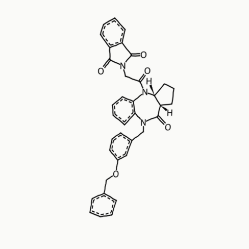 O=C1c2ccccc2C(=O)N1CC(=O)N1c2ccccc2N(Cc2cccc(OCc3ccccc3)c2)C(=O)[C@H]2CCC[C@H]21